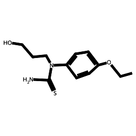 CCOc1ccc(N(CCCO)C(N)=S)cc1